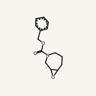 O=C(OCc1ccccc1)N1CCCC2OC2C1